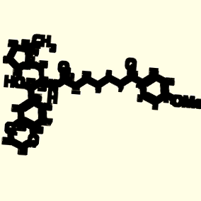 COc1ccc(C(=O)CCCCCC(=O)N[C@H](CN2CCC[C@@H]2C)C(O)c2ccc3c(c2)OCCO3)cc1